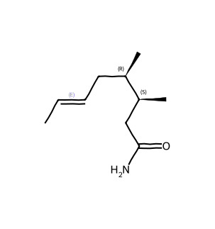 C/C=C/C[C@@H](C)[C@@H](C)CC(N)=O